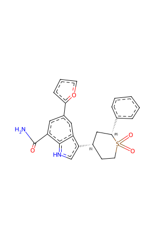 NC(=O)c1cc(-c2ccco2)cc2c([C@H]3CCS(=O)(=O)[C@@H](c4ccccc4)C3)c[nH]c12